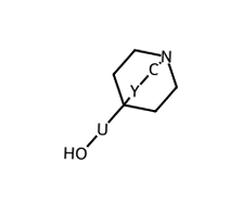 [OH][U][C]12CCN(CC1)[CH2][Y]2